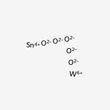 [O-2].[O-2].[O-2].[O-2].[O-2].[Sn+4].[W+6]